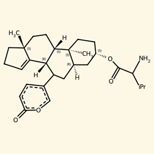 CC(C)C(N)C(=O)O[C@H]1CC[C@@]2(C)[C@H](CC(c3ccc(=O)oc3)[C@@H]3C4=CCC[C@]4(C)CC[C@@H]32)C1